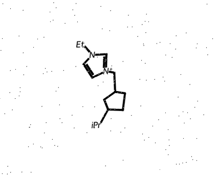 CCn1cc[n+](CC2CCC(C(C)C)C2)c1